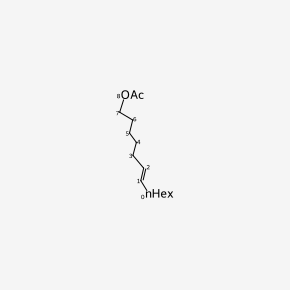 CCCCCC/C=C/CCCCCOC(C)=O